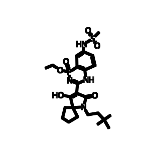 CCOP1(=O)N=C(C2=C(O)C3(CCCC3)N(CCC(C)(C)C)C2=O)Nc2ccc(NS(C)(=O)=O)cc21